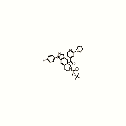 CC(C)(C)OC(=O)N1CCC2=Cc3c(cnn3-c3ccc(F)cc3)CC2(C(=O)c2ccnc(N3CCCC3)c2)C1